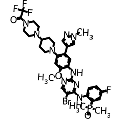 COc1cc(N2CCC(N3CCN(C(=O)C(F)(F)F)CC3)CC2)c(-c2cnn(C)c2)cc1Nc1ncc(Br)c(Nc2ccc(F)cc2P(C)(C)=O)n1